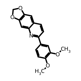 COc1ccc(-c2ccc3cc4c(cc3n2)OCO4)cc1OC